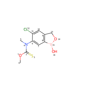 COC(=S)N(C)c1cc2c(cc1Cl)COB2O